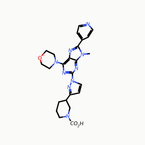 Cn1c(-c2ccncc2)nc2c(N3CCOCC3)nc(-n3ccc(C4CCCN(C(=O)O)C4)n3)nc21